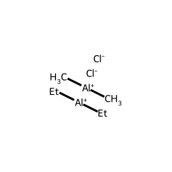 C[CH2][Al+][CH2]C.[CH3][Al+][CH3].[Cl-].[Cl-]